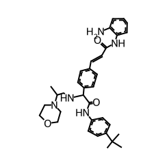 CC(CNC(C(=O)Nc1ccc(C(C)(C)C)cc1)c1ccc(C=CC(=O)Nc2ccccc2N)cc1)N1CCOCC1